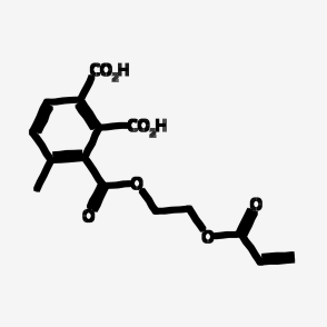 C=CC(=O)OCCOC(=O)c1c(C)ccc(C(=O)O)c1C(=O)O